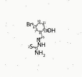 NC(=S)N/N=C/c1cc(Br)ccc1O